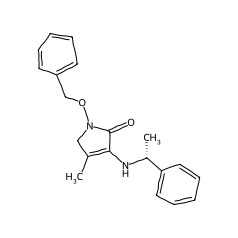 CC1=C(N[C@H](C)c2ccccc2)C(=O)N(OCc2ccccc2)C1